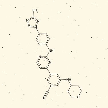 Cc1ncn(-c2ccc(Nc3nccc(-c4cc(C#N)cc(NC5CCOCC5)c4)n3)cc2)n1